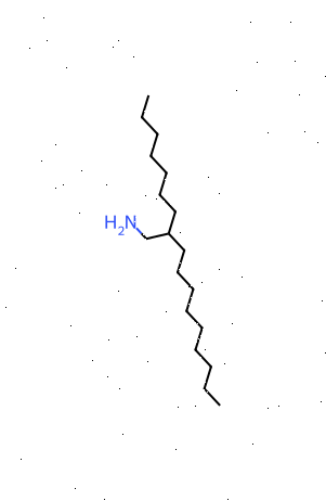 CCCCCCCCCC(CN)CCCCCCC